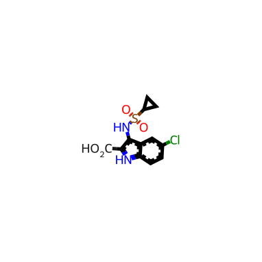 O=C(O)c1[nH]c2ccc(Cl)cc2c1NS(=O)(=O)C1CC1